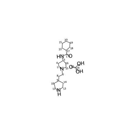 O=C(NC1CCN(CCC2CCNCC2)CC1)C1CCCCC1.O=C(O)O